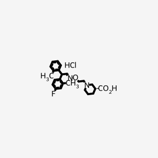 Cc1ccccc1C(/C=N/OCCN1CCC[C@@H](C(=O)O)C1)c1ccc(F)cc1C.Cl